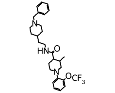 CC1CN(c2ccccc2OC(F)(F)F)CCC1C(=O)NCCC1CCN(Cc2ccccc2)CC1